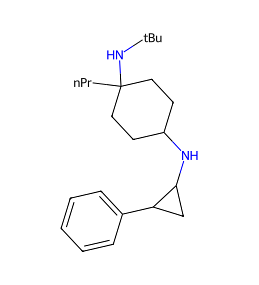 CCCC1(NC(C)(C)C)CCC(NC2CC2c2ccccc2)CC1